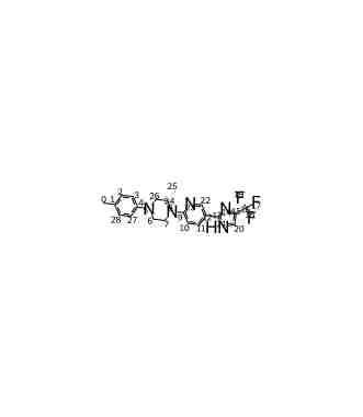 Cc1ccc(N2CCN(c3ccc(-c4nc(C(F)(F)F)c[nH]4)cn3)[C@@H](C)C2)cc1